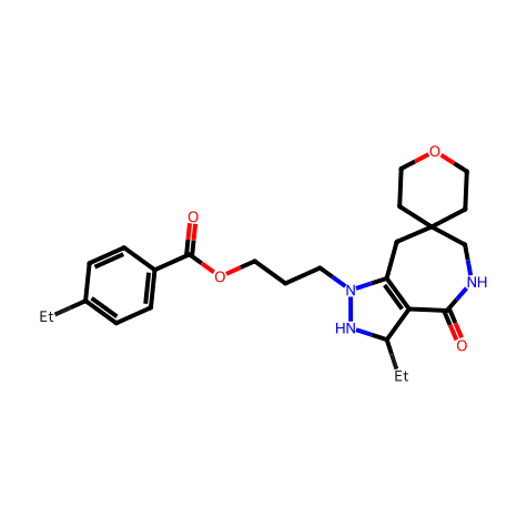 CCc1ccc(C(=O)OCCCN2NC(CC)C3=C2CC2(CCOCC2)CNC3=O)cc1